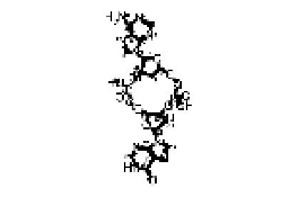 Nc1ncnc2c1ncn2C1OC2COP(=O)(O)O[C@H]3CC(n4cnc5c(=O)[nH]cnc54)OC3COP(=O)(O)O[C@@H]1C2